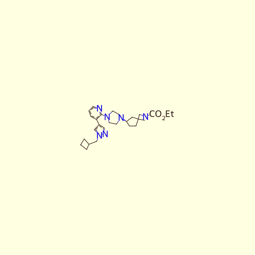 CCOC(=O)N1CC2(CC[C@@H](N3CCN(c4ncccc4-c4cnn(CC5CCC5)c4)CC3)C2)C1